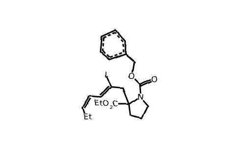 CC/C=C\C=C(/I)CC1(C(=O)OCC)CCCN1C(=O)OCc1ccccc1